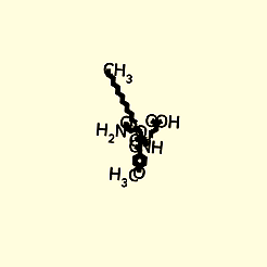 CCCCCCCCCCCCC[C@@H](CC(N)=O)OC(=O)[C@H](CCCC(=O)O)NC(=O)c1ccc(OC)cc1